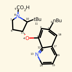 CCCCc1cc(O[C@@H]2CCN(C(=O)O)C2C(C)(C)C)c2ncccc2c1